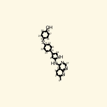 Cc1ccc2c(Nc3cc(-c4ccc(Sc5ccc(O)cc5)cc4)c[nH]3)ncnc2n1